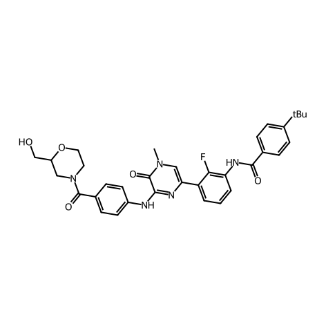 Cn1cc(-c2cccc(NC(=O)c3ccc(C(C)(C)C)cc3)c2F)nc(Nc2ccc(C(=O)N3CCOC(CO)C3)cc2)c1=O